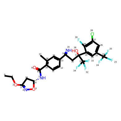 CCOC1=NO[C@@H](NC(=O)c2ccc(C(=N)C[C@](O)(c3cc(C(F)(F)F)cc(Cl)c3F)C(F)(F)F)cc2C)C1